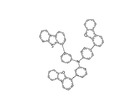 c1cc(-c2cccc3c2oc2ccccc23)cc(N(c2ccc(-c3cccc4c3oc3ccccc34)cc2)c2cccc(-c3cccc4c3sc3ccccc34)c2)c1